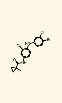 CC1(C(=O)Nc2ccc(Nc3ccc(Br)c(Cl)c3)c(Cl)c2)CC1